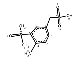 C[SH](C)(=O)c1cc(CS(=O)(=O)O)ccc1N